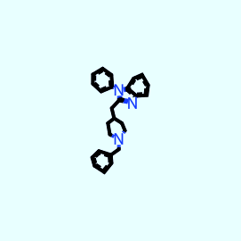 c1ccc(CN2CCC(Cc3nc4ccccc4n3-c3ccccc3)CC2)cc1